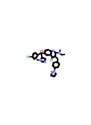 CCN(C)c1nc2ccc(C(O)(c3ccc(Cl)cc3)c3cncn3C)cc2c(Cl)c1Cc1ccc(-n2cccn2)cc1